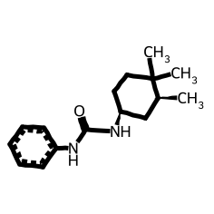 C[C@H]1C[C@@H](NC(=O)Nc2ccccc2)CCC1(C)C